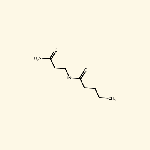 CCCCC(=O)NCCC(N)=O